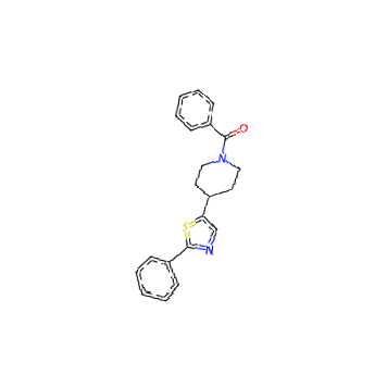 O=C(c1ccccc1)N1CCC(c2cnc(-c3ccccc3)s2)CC1